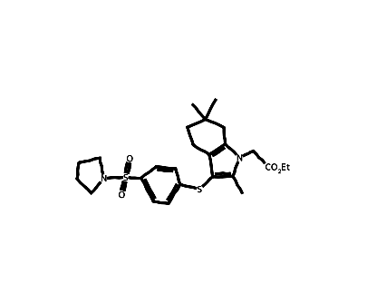 CCOC(=O)Cn1c(C)c(Sc2ccc(S(=O)(=O)N3CCCC3)cc2)c2c1CC(C)(C)CC2